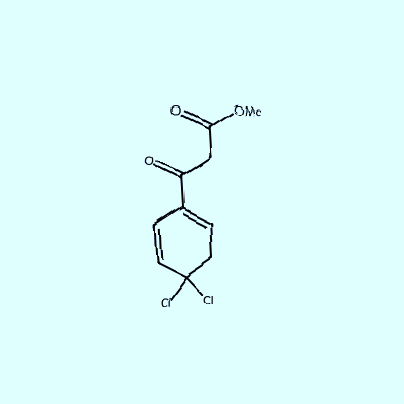 COC(=O)CC(=O)C1=CCC(Cl)(Cl)C=C1